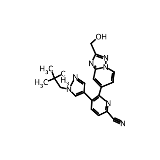 CC(C)(C)Cn1cc(-c2ccc(C#N)nc2-c2ccn3nc(CO)nc3c2)cn1